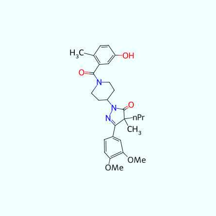 CCCC1(C)C(=O)N(C2CCN(C(=O)c3cc(O)ccc3C)CC2)N=C1c1ccc(OC)c(OC)c1